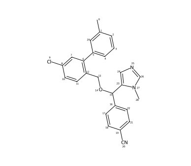 Cc1cccc(-c2cc(Cl)ccc2COC(c2ccc(C#N)cc2)c2cncn2C)c1